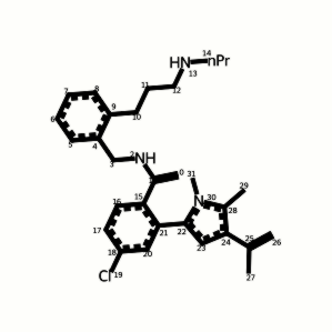 C=C(NCc1ccccc1CCCNCCC)c1ccc(Cl)cc1-c1cc(C(=C)C)c(C)n1C